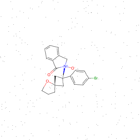 O=C1c2ccccc2C[N+]1([O-])[C@]1(c2ccc(Br)cc2)C[C@]2(CCCO2)C1